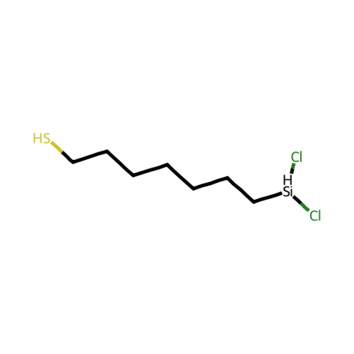 SCCCCCCC[SiH](Cl)Cl